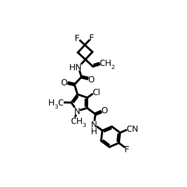 C=CC1(NC(=O)C(=O)c2c(Cl)c(C(=O)Nc3ccc(F)c(C#N)c3)n(C)c2C)CC(F)(F)C1